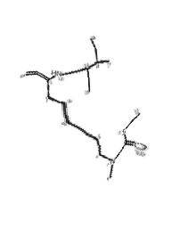 C=C(CCCCCN(C)C(=O)SC)NC(C)C(C)C